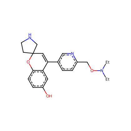 CCN(CC)OCc1ccc(C2=CC3(CCNC3)Oc3ccc(O)cc32)cn1